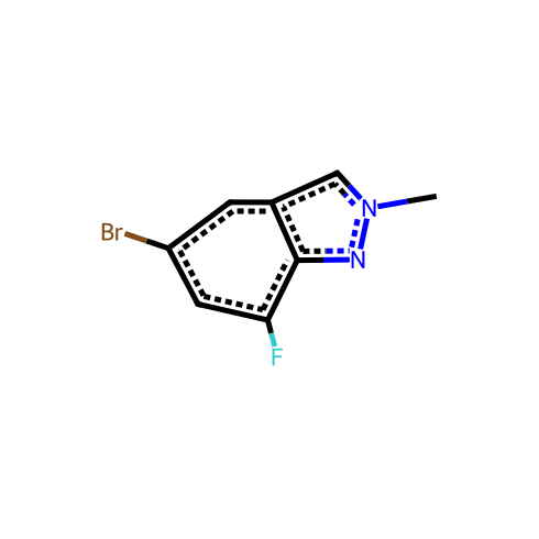 Cn1cc2cc(Br)cc(F)c2n1